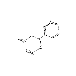 CCOC(=O)CC(SC(=O)OCC)c1ccccc1